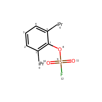 CC(C)c1cccc(C(C)C)c1OS(=O)(=O)F